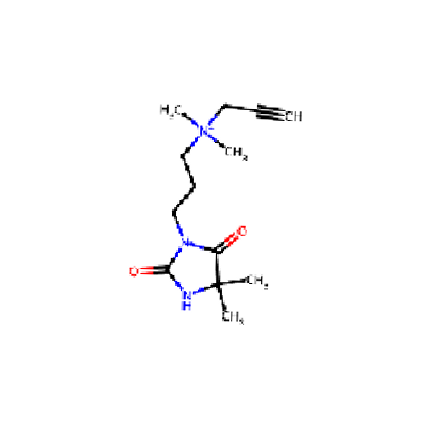 C#CC[N+](C)(C)CCCN1C(=O)NC(C)(C)C1=O